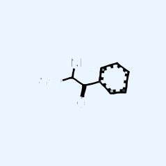 CC(=O)OC(N)C(=O)c1ccccc1